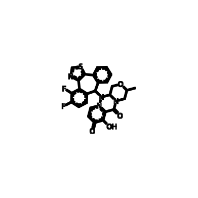 CC1CN2C(=O)c3c(O)c(=O)ccn3N(C3c4ccccc4-c4scnc4-c4c3ccc(F)c4F)C2CO1